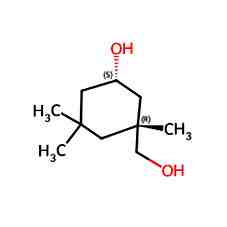 CC1(C)C[C@H](O)C[C@](C)(CO)C1